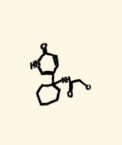 O=C(CCl)NC1(c2ccc(=O)[nH]c2)CCCCC1